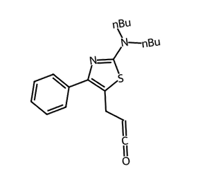 CCCCN(CCCC)c1nc(-c2ccccc2)c(CC=C=O)s1